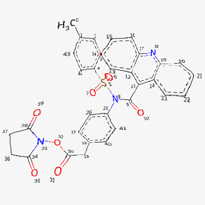 Cc1ccc(S(=O)(=O)N(C(=O)c2c3ccccc3nc3ccccc23)c2ccc(CC(=O)ON3C(=O)CCC3=O)cc2)cc1